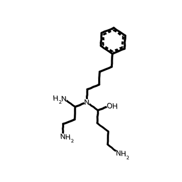 NCCCC(O)N(CCCCc1ccccc1)C(N)CCN